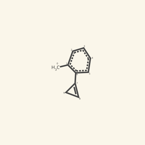 Cc1ccccc1C1=CC1